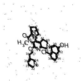 CN1C(=O)C2C3CCC(CN2c2c4c(nc(OCCc5cccnc5)c21)CN(c1cc(O)cc2cccc(Cl)c12)CC4)N3